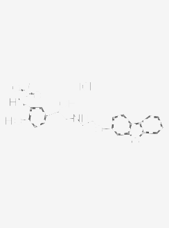 CS(=O)(=O)Nc1cc(C(O)CNCCOc2ccc3c(c2)oc2ccccc23)ccc1O.Cl